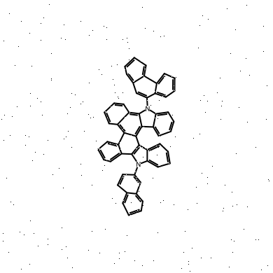 c1ccc2cc(-n3c4ccccc4c4c5c(c6ccccc6c43)c3ccccc3c3c5c4ccccc4n3-c3cc4ccccc4c4ccccc34)ccc2c1